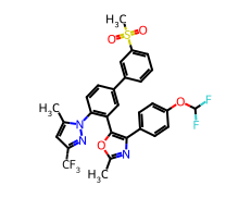 Cc1nc(-c2ccc(OC(F)F)cc2)c(-c2cc(-c3cccc(S(C)(=O)=O)c3)ccc2-n2nc(C(F)(F)F)cc2C)o1